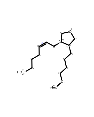 CCCCCCOCCCC[C@@H]1COC[C@@H]1C/C=C\CCCC(=O)O